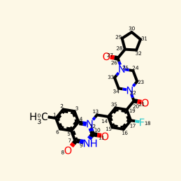 Cc1ccc2c(c1)c(=O)[nH]c(=O)n2Cc1ccc(F)c(C(=O)N2CCN(C(=O)C3CCCC3)CC2)c1